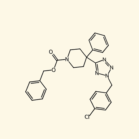 O=C(OCc1ccccc1)N1CCC(c2ccccc2)(c2nnn(Cc3ccc(Cl)cc3)n2)CC1